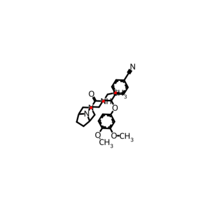 CCNC(=O)N1CC2CCC(C1)N2CCCC(Oc1ccc(OC)c(OC)c1)c1ccc(C#N)cc1